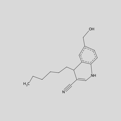 CCCCCCC1C(C#N)=CNc2ccc(CO)cc21